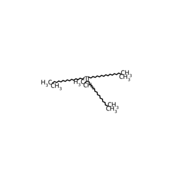 CC(C)CCCCCCCCCCCCCC[CH2][Ti]([CH2]CCCCCCCCCCCCCCC(C)C)[CH](CCCCCCCCCCCCCCC(C)C)C(C)C